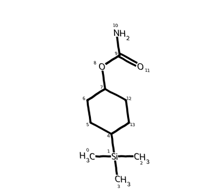 C[Si](C)(C)C1CCC(OC(N)=O)CC1